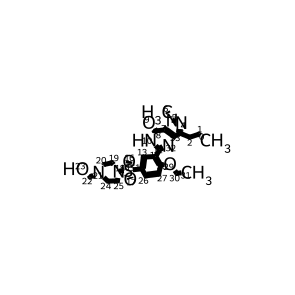 CCCc1nn(C)c2c(=O)[nH]c(-c3cc(S(=O)(=O)N4CCN(CO)CC4)ccc3OCC)nc12